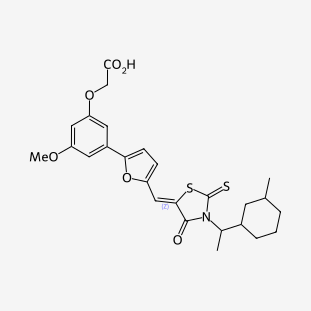 COc1cc(OCC(=O)O)cc(-c2ccc(/C=C3\SC(=S)N(C(C)C4CCCC(C)C4)C3=O)o2)c1